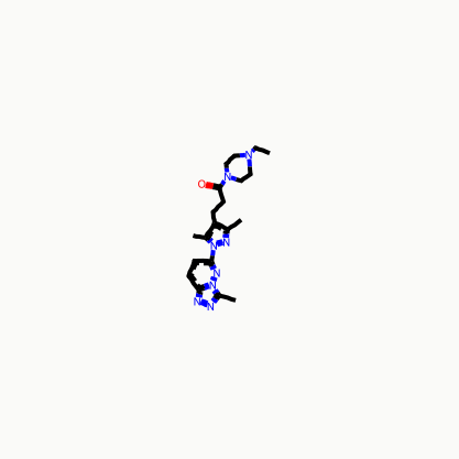 CCN1CCN(C(=O)CCc2c(C)nn(-c3ccc4nnc(C)n4n3)c2C)CC1